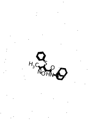 Cc1noc(C(=O)NC2C3CC4CCCC2(C4)C3)c1Sc1ccccc1